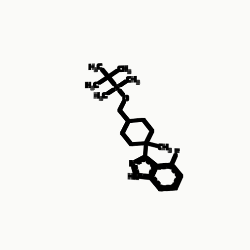 CC1(c2n[nH]c3cccc(F)c23)CCC(CO[Si](C)(C)C(C)(C)C)CC1